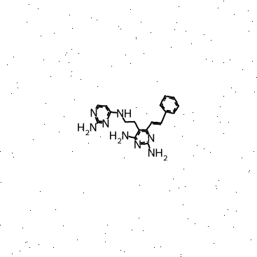 Nc1nccc(NCCc2c(N)nc(N)nc2/C=C/c2ccccc2)n1